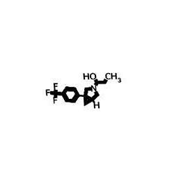 CCC(O)N1C[C@@H]2C[C@]2(c2ccc(C(F)(F)F)cc2)C1